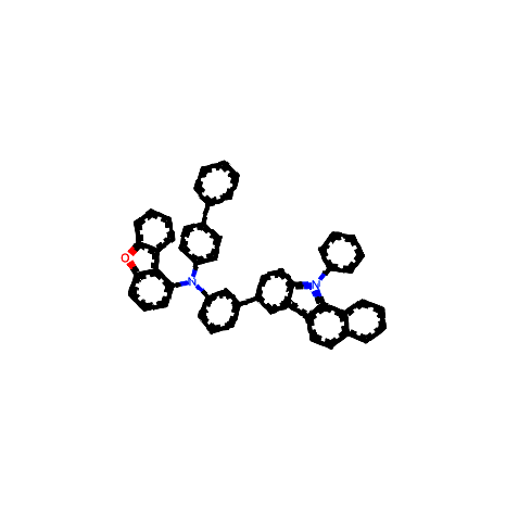 c1ccc(-c2ccc(N(c3cccc(-c4ccc5c(c4)c4ccc6ccccc6c4n5-c4ccccc4)c3)c3cccc4oc5ccccc5c34)cc2)cc1